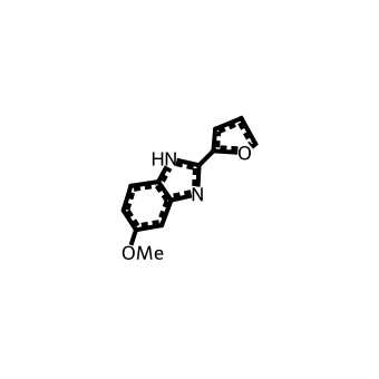 COc1ccc2[nH]c(-c3ccco3)nc2c1